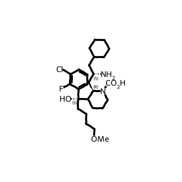 COCCCC[C@@](O)(c1cccc(Cl)c1F)C1CCCN(C(=O)O)[C@@H]1C[C@@H](N)CC1CCCCC1